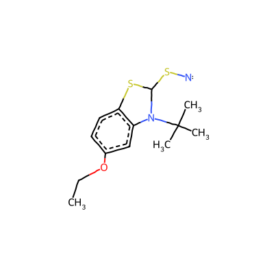 CCOc1ccc2c(c1)N(C(C)(C)C)C(S[N])S2